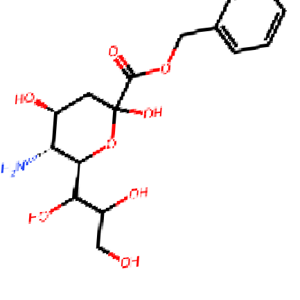 N[C@@H]1[C@@H](O)CC(O)(C(=O)OCc2ccccc2)O[C@H]1C(O)C(O)CO